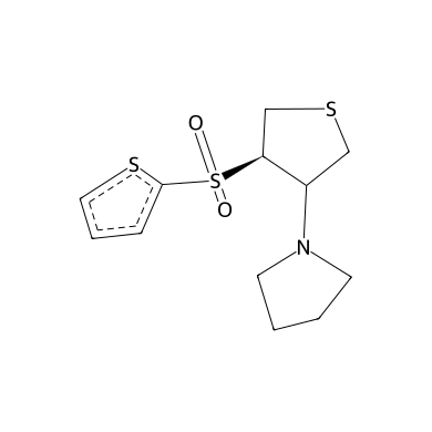 O=S(=O)(c1cccs1)[C@H]1CSCC1N1CCCC1